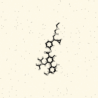 CCOCPCC(c1cccc(OC(=O)c2cc(CN(C(C)C)C(C)C)c(-c3cc(OC)ncc3F)cc2C)c1)C1CC1